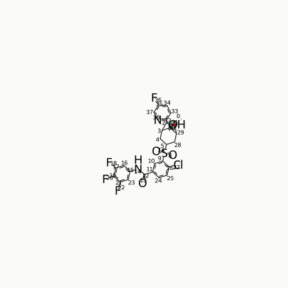 C[C@H]1CC2CC(S(=O)(=O)c3cc(C(=O)Nc4cc(F)c(F)c(F)c4)ccc3Cl)CC1[C@@]2(O)c1ccc(F)cn1